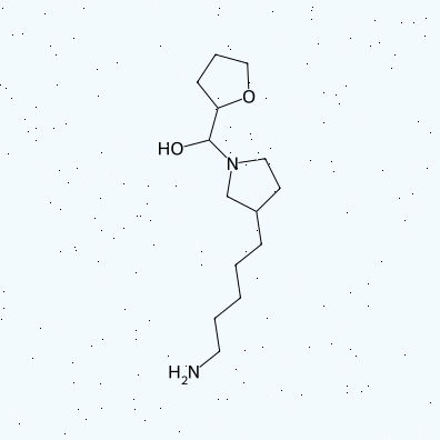 NCCCCCC1CCN(C(O)C2CCCO2)C1